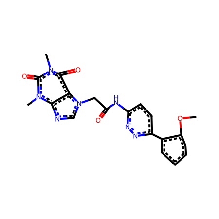 COc1ccccc1-c1ccc(NC(=O)Cn2cnc3c2c(=O)n(C)c(=O)n3C)nn1